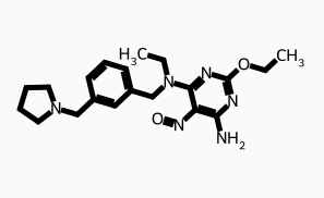 CCOc1nc(N)c(N=O)c(N(CC)Cc2cccc(CN3CCCC3)c2)n1